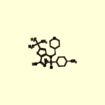 CC1CCC(P(C)(=O)N(CC2CCOCC2)c2cc(C(C)(C)C)sc2C(=O)O)CC1